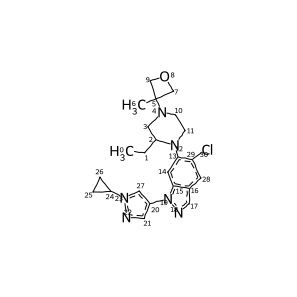 CCC1CN(C2(C)COC2)CCN1c1cc2c(cnn2-c2cnn(C3CC3)c2)cc1Cl